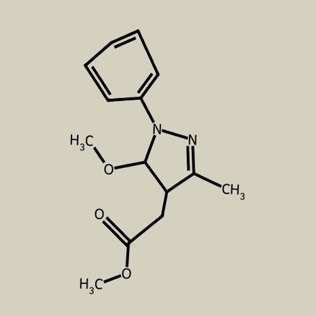 COC(=O)CC1C(C)=NN(c2ccccc2)C1OC